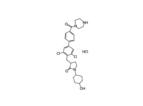 Cl.O=C(c1ccc(-c2cc(Cl)c(CC3CCN(C4CCC(O)CC4)C3=O)c(Cl)c2)cc1)N1CCNCC1